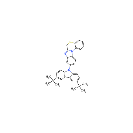 CC(C)(C)c1ccc2c(c1)c1cc(C(C)(C)C)ccc1n2-c1ccc2c(c1)nc1n2-c2ccccc2SC1